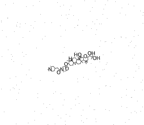 C[C@@H]1CC(C(O)C(C)(C)O)OC2C1C1(C)CCC34CC35CCC(OC3CN(C(=O)CC6CCN(C)CC6)CCO3)C(C)(C)[C@@H]5CCC4[C@]1(C)[C@H]2O